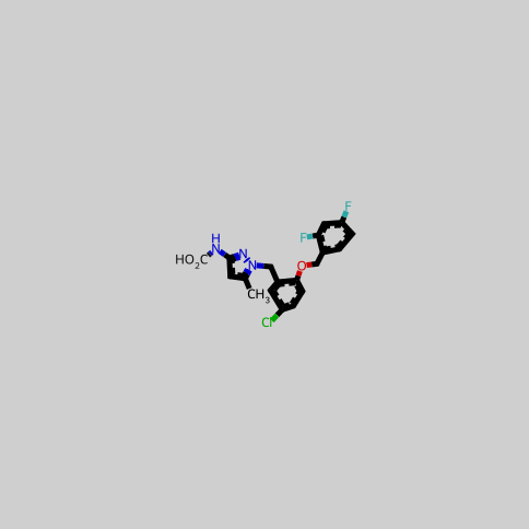 Cc1cc(NC(=O)O)nn1Cc1cc(Cl)ccc1OCc1ccc(F)cc1F